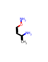 C=C(N)/C=C\ON